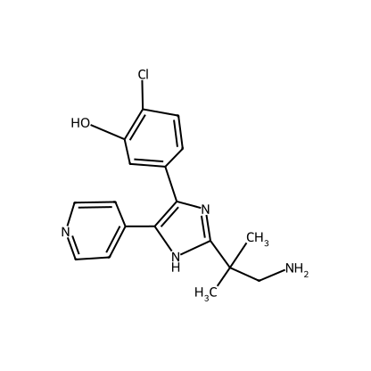 CC(C)(CN)c1nc(-c2ccc(Cl)c(O)c2)c(-c2ccncc2)[nH]1